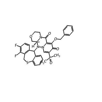 CP(C)(=O)c1cn2c(c(OCc3ccccc3)c1=O)C(=O)N1CCOC[C@H]1N2C1c2ccccc2SCc2c1ccc(F)c2F